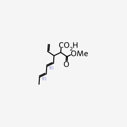 C=CC(/C=C/C=C/C)C(C(=O)O)C(=O)OC